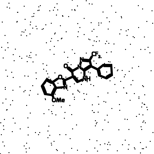 COc1cccc2oc(-c3c[nH]c4c(-c5ccccc5)c(C(F)(F)F)nn4c3=O)nc12